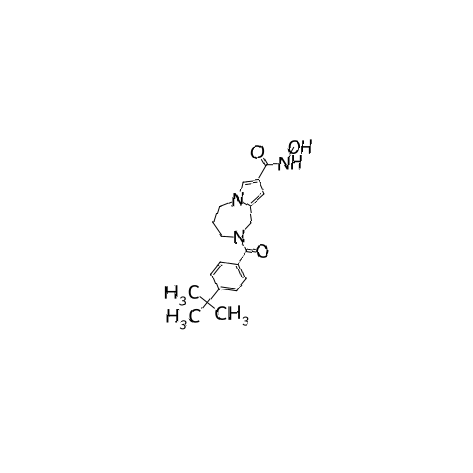 CC(C)(C)c1ccc(C(=O)N2CCCn3cc(C(=O)NO)cc3C2)cc1